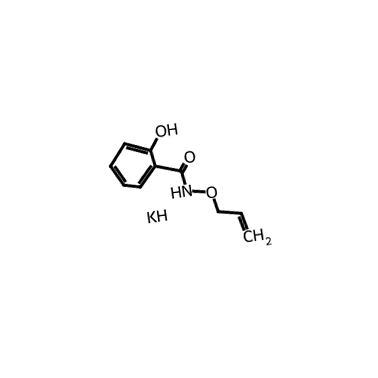 C=CCONC(=O)c1ccccc1O.[KH]